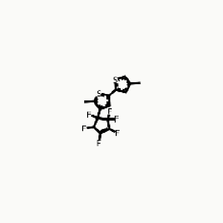 Cc1csc(-c2cc(C3(F)C(F)C(F)=C(F)C3(F)F)c(C)s2)c1